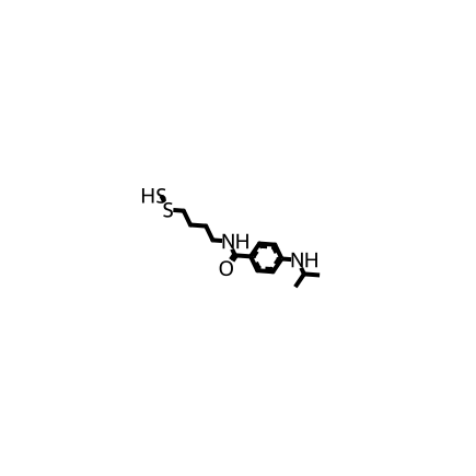 CC(C)Nc1ccc(C(=O)NCCCCSS)cc1